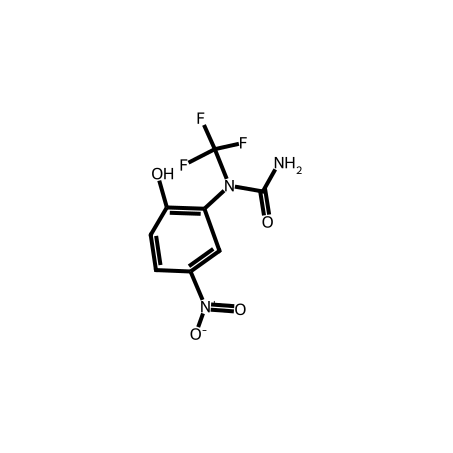 NC(=O)N(c1cc([N+](=O)[O-])ccc1O)C(F)(F)F